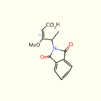 CO/C(=C/C(=O)O)C(C)N1C(=O)c2ccccc2C1=O